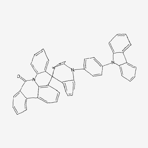 O=c1c2ccccc2c2cccc3c2n1-c1ccccc1C31c2ccccc2N(c2ccc(-n3c4ccccc4c4ccccc43)cc2)c2ccccc21